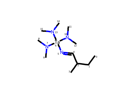 CCC(C)C=[N][Ta]([N](C)C)([N](C)C)[N](C)C